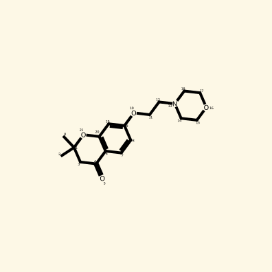 CC1(C)CC(=O)c2ccc(OCCN3CCOCC3)cc2O1